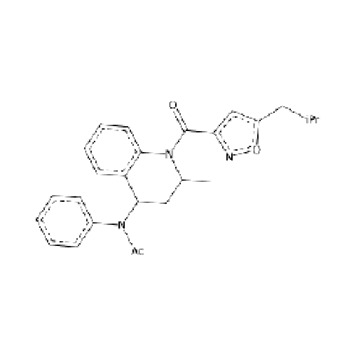 CC(=O)N(c1ccccc1)C1CC(C)N(C(=O)c2cc(CC(C)C)on2)c2ccccc21